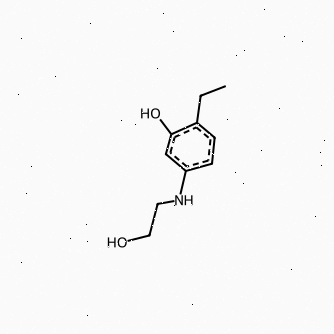 CCc1ccc(NCCO)cc1O